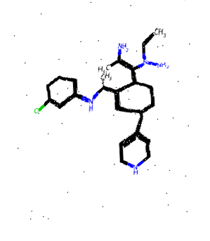 CCN(N)/C(=C(/C)N)C1CCC(C2=CCNCC2)CC1[C@@H](C)NC1CCCC(Cl)C1